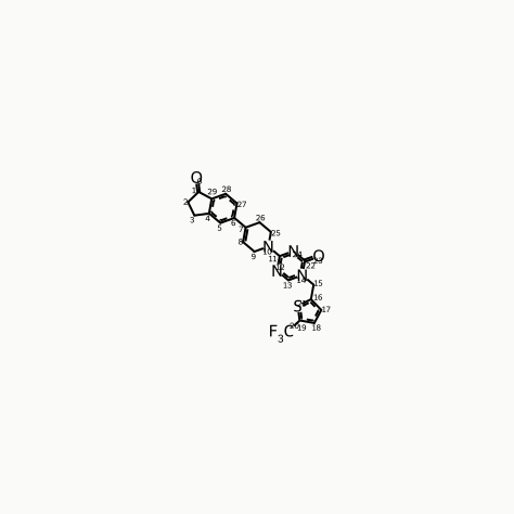 O=C1CCc2cc(C3=CCN(c4ncn(Cc5ccc(C(F)(F)F)s5)c(=O)n4)CC3)ccc21